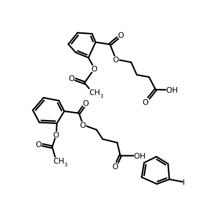 CC(=O)Oc1ccccc1C(=O)OCCCC(=O)O.CC(=O)Oc1ccccc1C(=O)OCCCC(=O)O.Ic1ccccc1